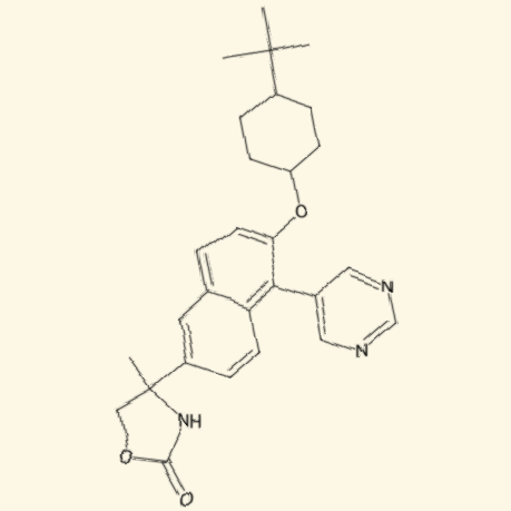 CC1(c2ccc3c(-c4cncnc4)c(OC4CCC(C(C)(C)C)CC4)ccc3c2)COC(=O)N1